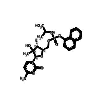 CC(NP(=O)(OC[C@H]1O[C@@H](n2ccc(N)nc2=O)[C@](C)(O)[C@@H]1F)Oc1cccc2ccccc12)C(=O)O